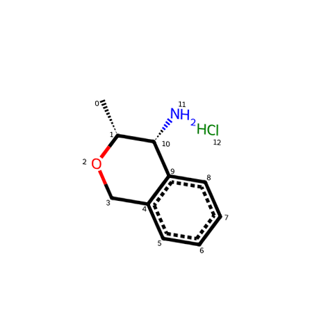 C[C@H]1OCc2ccccc2[C@H]1N.Cl